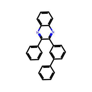 [c]1ccc(-c2cccc(-c3nc4ccccc4nc3-c3ccccc3)c2)cc1